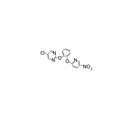 O=[N+]([O-])c1ccc(Oc2ccccc2Oc2ncc(Cl)cn2)nc1